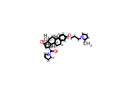 C[C@@H]1CCCN1CCCOc1ccc2c(c1)CC[C@H]1[C@@H]3[C@@H](C(=O)N4CCCC4)CC(=O)[C@@]3(C)CC[C@H]21